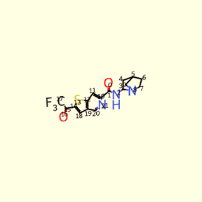 O=C(NC1CC2CCN1C2)c1cc2sc(C(=O)C(F)(F)F)cc2cn1